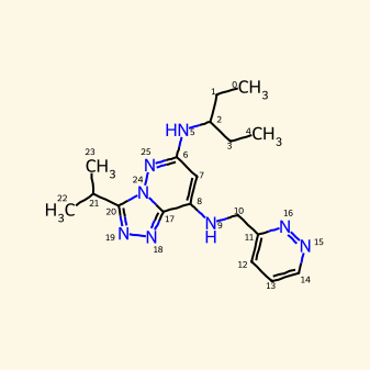 CCC(CC)Nc1cc(NCc2cccnn2)c2nnc(C(C)C)n2n1